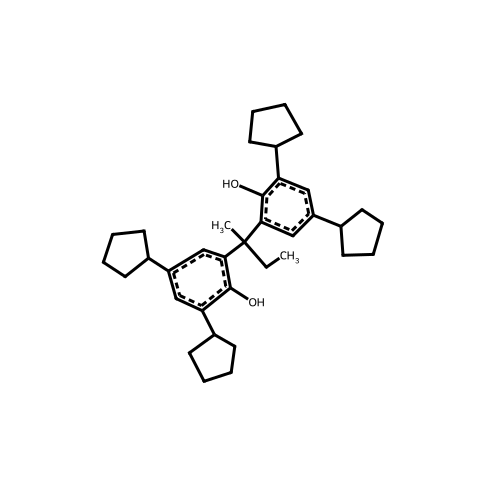 CCC(C)(c1cc(C2CCCC2)cc(C2CCCC2)c1O)c1cc(C2CCCC2)cc(C2CCCC2)c1O